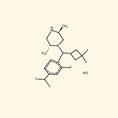 C[C@@H]1CN[C@@H](C)CN1C(c1ccc(C(F)F)cc1F)C1CC(F)(F)C1.Cl